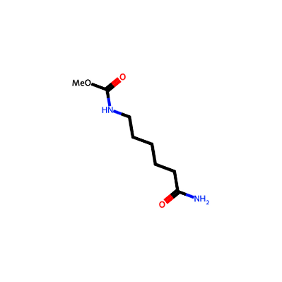 COC(=O)NCCCCCC(N)=O